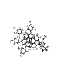 Cc1ccc(-c2ccc3c(c2)c2cc(-c4ccc(C)cc4C)ccc2n3-c2cccc(C#N)c2-c2c(-c3ccc(C(F)(F)F)cc3C#N)cccc2-n2c3ccc(-c4ccc(C)cc4C)cc3c3cc(-c4ccc(C)cc4C)ccc32)c(C)c1